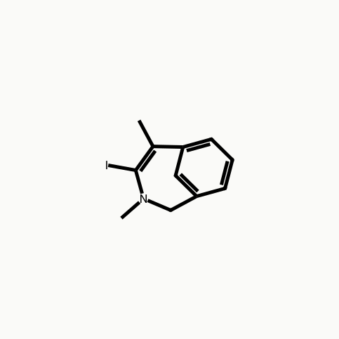 CC1=C(I)N(C)Cc2cccc1c2